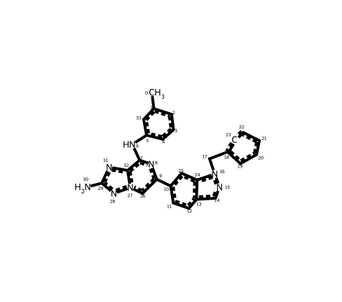 Cc1cccc(Nc2nc(-c3ccc4cnn(Cc5ccccc5)c4c3)cn3nc(N)nc23)c1